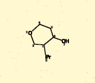 CC(C)C1COCCC1O